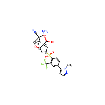 CO[C@@H]1C[C@H](S(=O)(=O)c2ccc(-c3ccnn3C)cc2C(F)(F)F)C[C@@]1(C(=O)O)C1CC1(C#N)C(N)=O